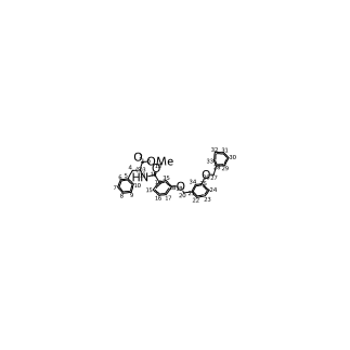 COC(=O)[C@H](Cc1ccccc1)NC(=O)c1cccc(OCc2cccc(OCc3ccccc3)c2)c1